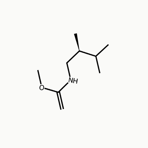 C=C(NC[C@@H](C)C(C)C)OC